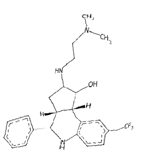 CN(C)CCNC1C[C@H]2[C@@H](c3ccccc3)Nc3ccc(C(F)(F)F)cc3[C@H]2C1O